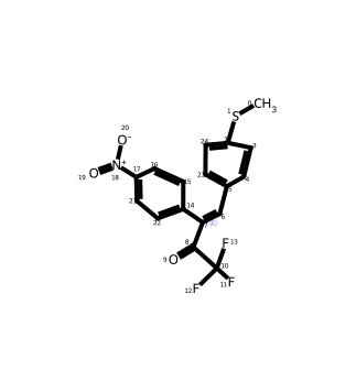 CSc1ccc(/C=C(/C(=O)C(F)(F)F)c2ccc([N+](=O)[O-])cc2)cc1